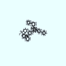 CC1(C)c2cccc3c2-c2c1ccc1c4ccccc4n(c21)-c1ccc(-c2nc(-c4ccc(-c5ccccc5)cc4)nc(-c4cccc(-c5ccccc5)c4)n2)cc1-3